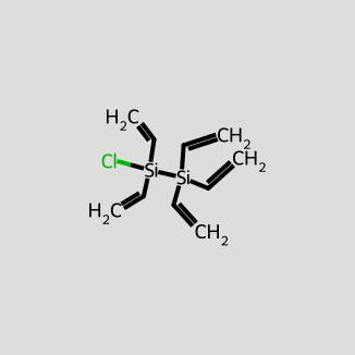 C=C[Si](Cl)(C=C)[Si](C=C)(C=C)C=C